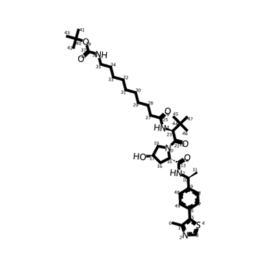 Cc1ncsc1-c1ccc([C@H](C)NC(=O)[C@@H]2C[C@@H](O)CN2C(=O)[C@@H](NC(=O)CCCCCCCCCNC(=O)OC(C)(C)C)C(C)(C)C)cc1